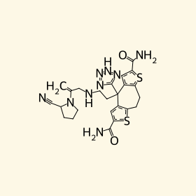 C=C(CNCCC1(c2nn[nH]n2)c2cc(C(N)=O)sc2CCc2sc(C(N)=O)cc21)N1CCCC1C#N